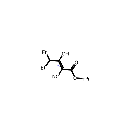 CCCOC(=O)/C(C#N)=C(\O)C(CC)CC